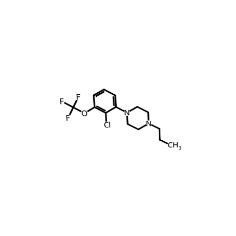 CCCN1CCN(c2cccc(OC(F)(F)F)c2Cl)CC1